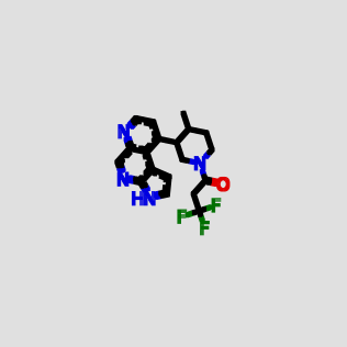 CC1CCN(C(=O)CC(F)(F)F)CC1c1ccnc2cnc3[nH]ccc3c12